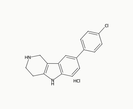 Cl.Clc1ccc(-c2ccc3[nH]c4c(c3c2)CNCC4)cc1